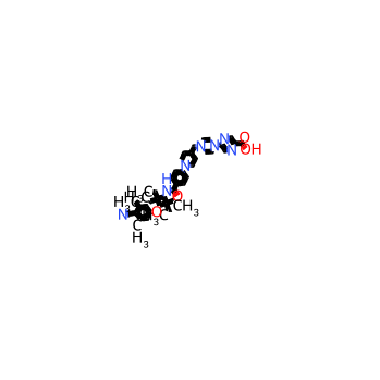 CCC1(CC)C(NC(=O)c2ccc(N3CCC(CN4CCN(c5cnc(C(=O)O)cn5)CC4)CC3)cc2)C(CC)(CC)C1Oc1cc(C)c(C#N)c(C)c1